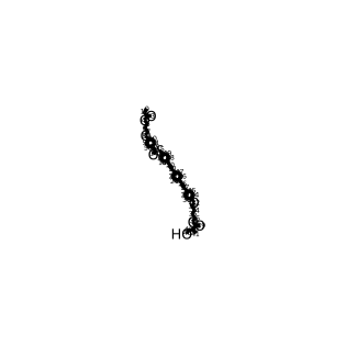 C=CC(=O)OCCCOc1ccc(C(=O)Sc2ccc(C#Cc3ccc(C#Cc4ccc(OCCCCOC(=O)C(=C)CO)cc4)cc3)cc2)cc1